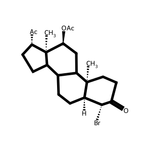 CC(=O)O[C@H]1CC2C(CC[C@@H]3[C@@H](Br)C(=O)CC[C@]23C)C2CC[C@H](C(C)=O)[C@]21C